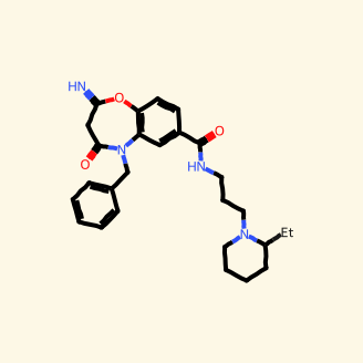 CCC1CCCCN1CCCNC(=O)c1ccc2c(c1)N(Cc1ccccc1)C(=O)CC(=N)O2